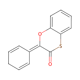 O=C1Sc2ccccc2OC1=C1C=CCC=C1